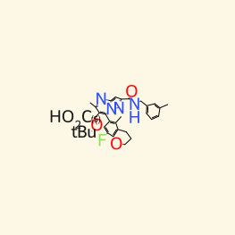 Cc1cccc(CNC(=O)c2cc3nc(C)c([C@H](OC(C)(C)C)C(=O)O)c(-c4cc(F)c5c(c4C)CCCO5)n3n2)c1